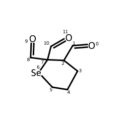 O=CC1CCC[Se]C1(C=O)C=O